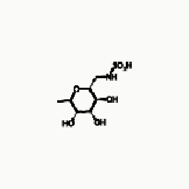 CC1O[C@H](CNS(=O)(=O)O)[C@@H](O)[C@H](O)[C@@H]1O